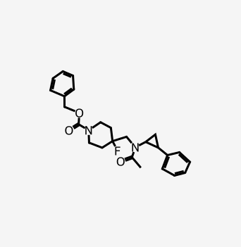 CC(=O)N(CC1(F)CCN(C(=O)OCc2ccccc2)CC1)C1CC1c1ccccc1